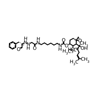 COC1C(OC(=O)NCCCCCCNC(=O)CNN[C@H](C=O)Cc2ccccc2)CC[C@]2(CO2)C1C(C)(O)[C@H](C)CC=C(C)C